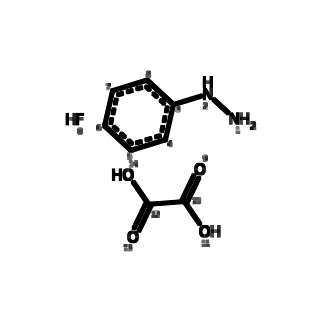 F.NNc1ccccc1.O=C(O)C(=O)O